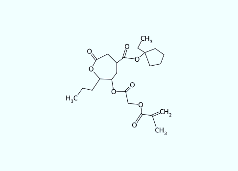 C=C(C)C(=O)OCC(=O)OC1CC(C(=O)OC2(CC)CCCC2)CC(=O)OC1CCC